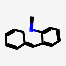 C=Nc1ccccc1/C=C1/C=CC=CC1